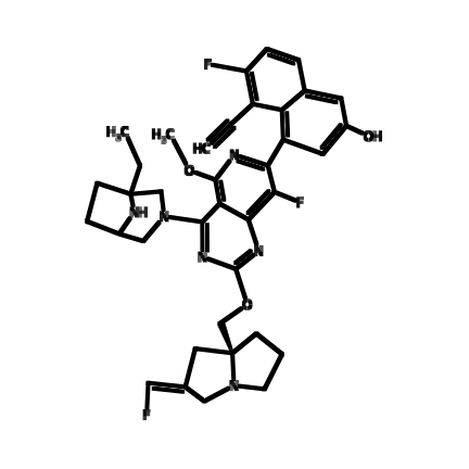 C#Cc1c(F)ccc2cc(O)cc(-c3nc(OC)c4c(N5CC6CCC(CC)(C5)N6)nc(OC[C@@]56CCCN5C/C(=C\F)C6)nc4c3F)c12